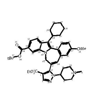 CCOC(=O)c1cnn(C2CCN(C)CC2)c1C1=Cc2cc(OC)ccc2-c2c(C3CCCCC3)c3ccc(C(=O)OC(C)(C)C)cc3n2C1